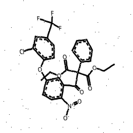 CCOC(=O)C(C(=O)OCC)(C(=O)c1cc(Oc2ccc(C(F)(F)F)cc2Cl)ccc1[N+](=O)[O-])c1ccccc1